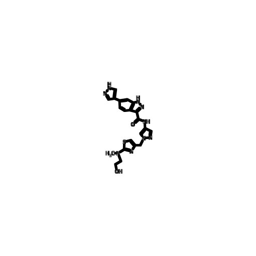 CN(CCO)c1nc(Cn2cc(NC(=O)c3n[nH]c4cc(-c5cn[nH]c5)ccc34)cn2)cs1